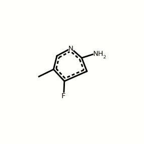 Cc1cnc(N)cc1F